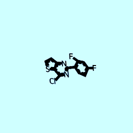 Fc1ccc(-c2nc(Cl)c3sccc3n2)c(F)c1